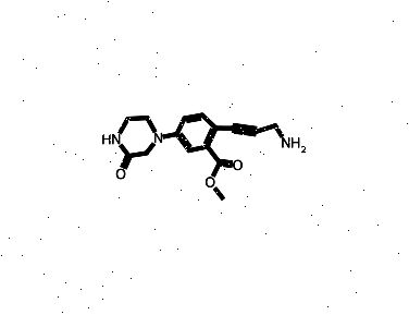 COC(=O)c1cc(N2CCNC(=O)C2)ccc1C#CCN